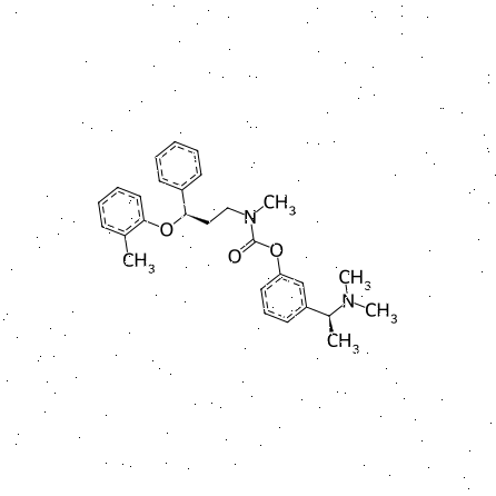 Cc1ccccc1O[C@H](CCN(C)C(=O)Oc1cccc([C@H](C)N(C)C)c1)c1ccccc1